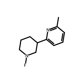 Cc1cccc(C2CCCN(F)C2)n1